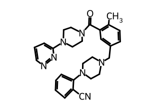 Cc1ccc(CN2CCN(c3ccccc3C#N)CC2)cc1C(=O)N1CCN(c2cccnn2)CC1